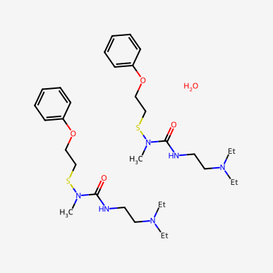 CCN(CC)CCNC(=O)N(C)SCCOc1ccccc1.CCN(CC)CCNC(=O)N(C)SCCOc1ccccc1.O